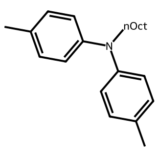 CCCCCCCCN(c1ccc(C)cc1)c1ccc(C)cc1